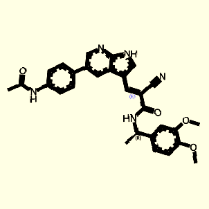 COc1ccc([C@@H](C)NC(=O)/C(C#N)=C/c2c[nH]c3ncc(-c4ccc(NC(C)=O)cc4)cc23)cc1OC